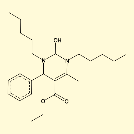 CCCCCN1C(C)=C(C(=O)OCC)C(c2ccccc2)N(CCCCC)C1O